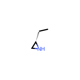 CC[C@H]1CN1